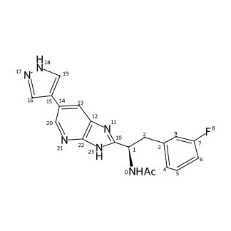 CC(=O)N[C@H](Cc1cccc(F)c1)c1nc2cc(-c3cn[nH]c3)cnc2[nH]1